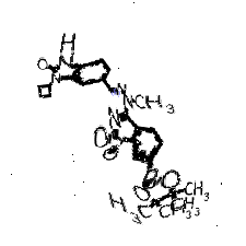 CN(/N=C/c1ccc2[nH]c(=O)n(C3CCC3)c2c1)C1=NS(=O)(=O)c2cc(B3OC(C)(C)C(C)(C)O3)ccc21